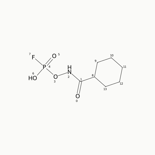 O=C(NOP(=O)(O)F)C1CCCCC1